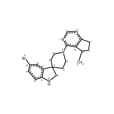 CC1CCc2ncnc(N3CCC4(CC3)CNc3ccc(Br)cc34)c21